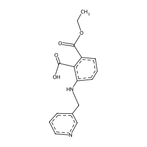 CCOC(=O)c1cccc(NCc2cccnc2)c1C(=O)O